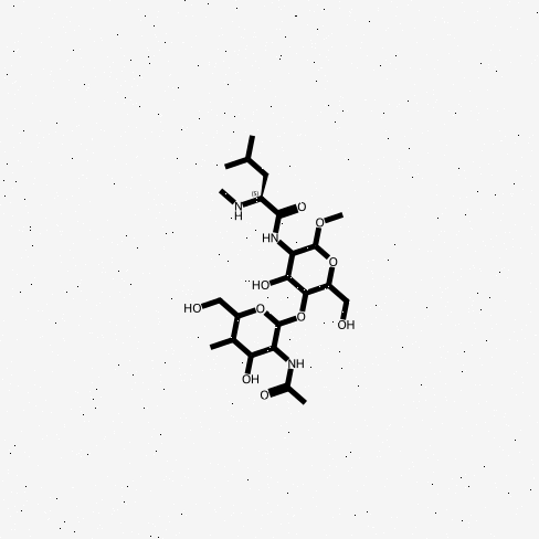 CN[C@@H](CC(C)C)C(=O)NC1C(OC)OC(CO)C(OC2OC(CO)C(C)C(O)C2NC(C)=O)C1O